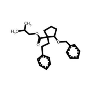 CC(C)COC(=O)C1(CCc2ccccc2)CCCC1OCc1ccccc1